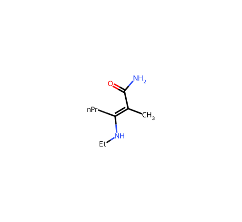 CCC/C(NCC)=C(/C)C(N)=O